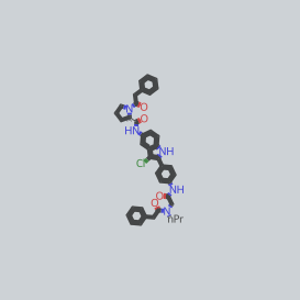 CCCN(CC(=O)Nc1ccc(-c2[nH]c3ccc(NC(=O)[C@@H]4CCCN4C(=O)Cc4ccccc4)cc3c2Cl)cc1)C(=O)Cc1ccccc1